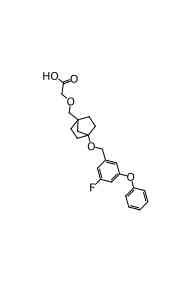 O=C(O)COCC12CCC(OCc3cc(F)cc(Oc4ccccc4)c3)(CC1)C2